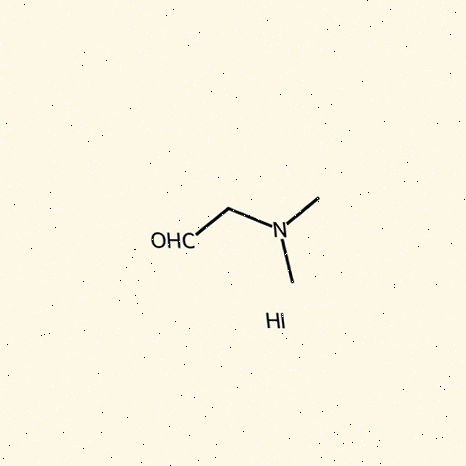 CN(C)CC=O.I